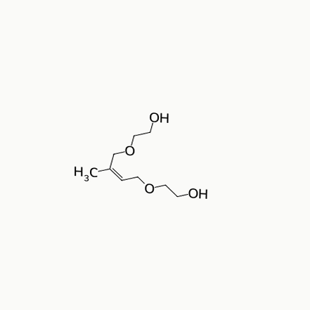 CC(=CCOCCO)COCCO